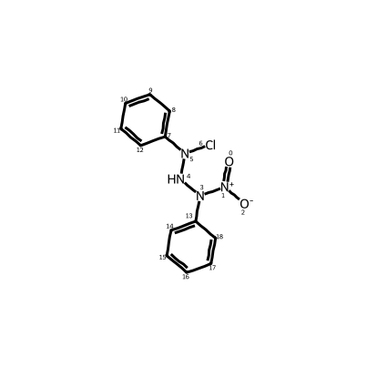 O=[N+]([O-])N(NN(Cl)c1ccccc1)c1ccccc1